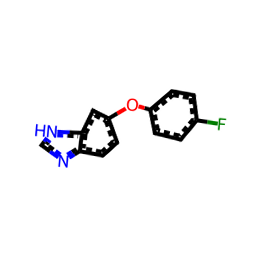 Fc1ccc(Oc2ccc3nc[nH]c3c2)cc1